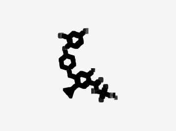 CS(=O)(=O)NC(=O)c1cc(C2CC2)c(CN2CCC(Oc3ccc(Cl)cc3Cl)CC2)cc1F